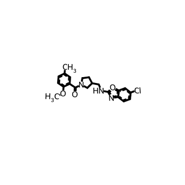 COc1ccc(C)cc1C(=O)N1CCC(CNc2nc3ccc(Cl)cc3o2)C1